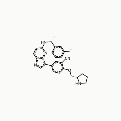 C[C@@H](Nc1ccc2ncc(-c3ccc(OC[C@@H]4CCCN4)c(C#N)c3)n2n1)c1cccc(F)c1